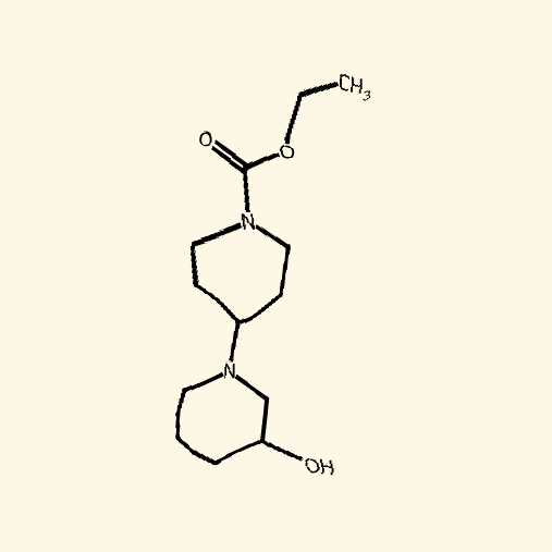 CCOC(=O)N1CCC(N2CCCC(O)C2)CC1